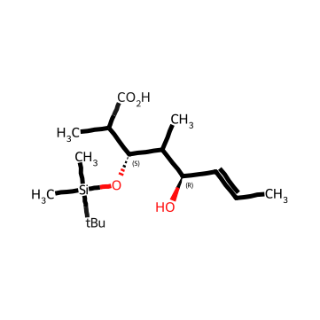 CC=C[C@@H](O)C(C)[C@H](O[Si](C)(C)C(C)(C)C)C(C)C(=O)O